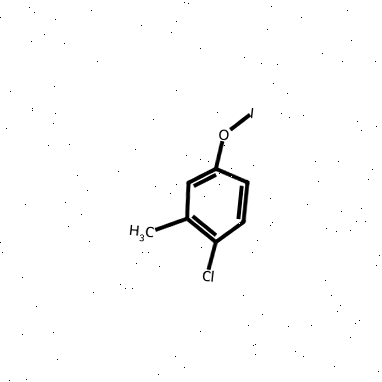 Cc1cc(OI)ccc1Cl